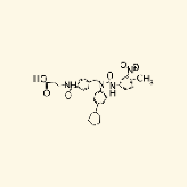 Cc1ccc(NC(=O)N(Cc2ccc(C(=O)NCCC(=O)O)cc2)c2ccc(C3CCCCC3)cc2)cc1[N+](=O)[O-]